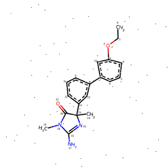 CCOc1cccc(-c2cccc(C3(C)N=C(N)N(C)C3=O)c2)c1